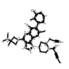 CC#CC(=O)N1CC[C@H](n2nnc3c(N4CC(C)(N(C)C)C4)nc4c(F)c(-c5cccc(Cl)c5C)c(C)cc4c32)C[C@H]1CC#N